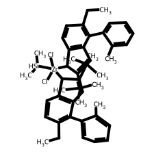 CCc1ccc2c(c1-c1ccccc1C)C=C(C(C)(C)C)[CH]2[Zr]([Cl])([Cl])([CH]1C(C(C)(C)C)=Cc2c1ccc(CC)c2-c1ccccc1C)[SiH](C)C